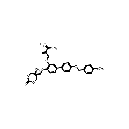 C=C(C)C(=O)COc1cc(-c2ccc(OCc3ccc(CCCCCCCCCC)cc3)cc2)ccc1OCC1(C)COC(=O)OC1